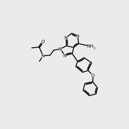 CC(=O)N(C)CCn1nc(-c2ccc(Oc3ccccc3)cc2)c2c(N)ncnc21